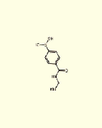 CC(C)(C)CNC(=O)c1ccc(B(O)O)cc1